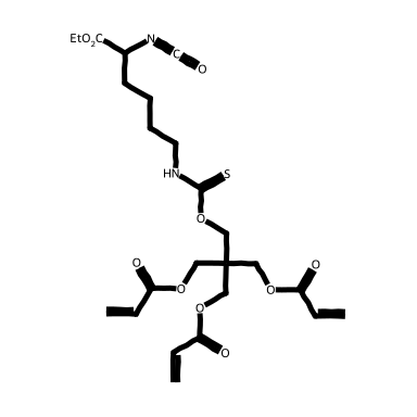 C=CC(=O)OCC(COC(=O)C=C)(COC(=O)C=C)COC(=S)NCCCCC(N=C=O)C(=O)OCC